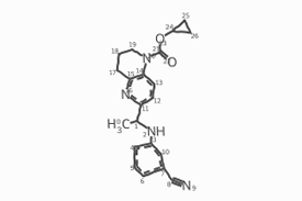 CC(Nc1cccc(C#N)c1)c1ccc2c(n1)CCCN2C(=O)OC1CC1